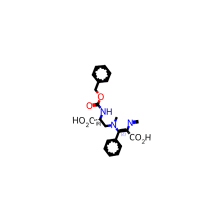 C=N/C(C(=O)O)=C(/c1ccccc1)N(C)C[C@@H](NC(=O)OCc1ccccc1)C(=O)O